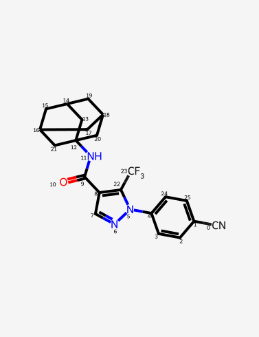 N#Cc1ccc(-n2ncc(C(=O)NC34CC5CC(CC(C5)C3)C4)c2C(F)(F)F)cc1